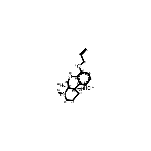 C=CCOc1cccc2c1OC[C@H]1[C@H]2CCCN1C.Cl